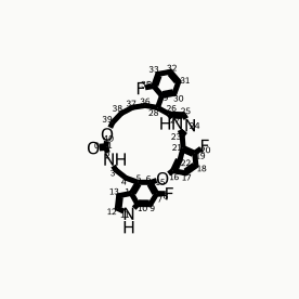 O=C1NCCc2c(c(F)cc3[nH]ccc23)Oc2ccc(F)c(c2)-c2ncc([nH]2)C(c2ccccc2F)CCCCO1